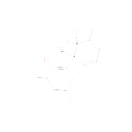 CC1=CC=CC(C(=O)O)(c2cc(F)cc(Br)c2)C1(F)Cl